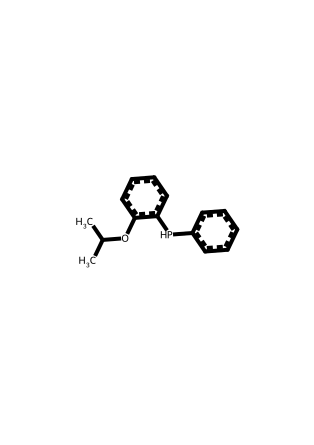 CC(C)Oc1ccccc1Pc1ccccc1